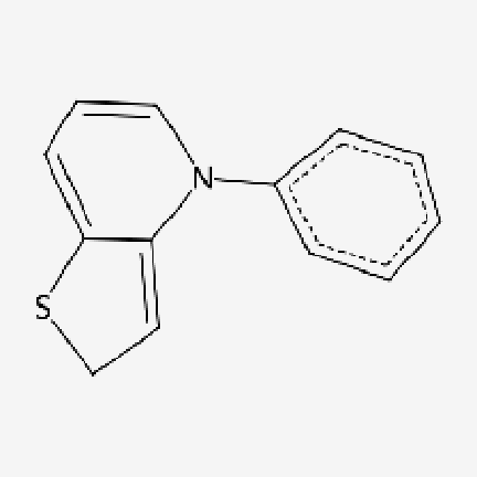 C1=CN(c2ccccc2)C2=CCSC2=C1